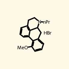 Br.CCCN1CCc2cccc3c2C1Cc1cccc(OC)c1-3